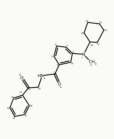 CN(c1cccc(C(=O)NCC(=O)c2ccccc2)c1)C1CCCCC1